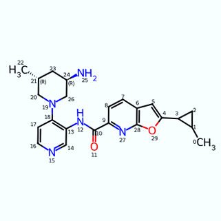 CC1CC1c1cc2ccc(C(=O)Nc3cnccc3N3C[C@H](C)C[C@@H](N)C3)nc2o1